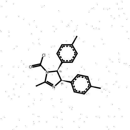 CC1=N[C@H](c2ccc(C)cc2)[C@H](c2ccc(C)cc2)N1C(=O)Cl